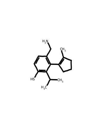 CC1=C(c2c(CN)ccc(S)c2C(C)C)CCC1